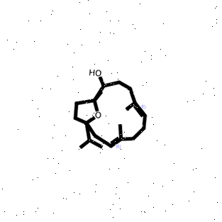 C/C1=C\CC2(C(C)C)CCC(C)(O2)C(O)CC/C(C)=C/CC1